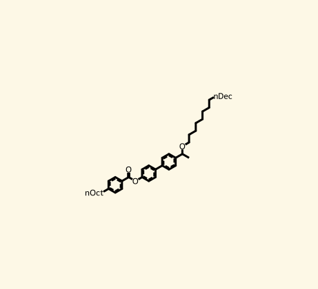 CCCCCCCCCCCCCCCCCCOC(C)c1ccc(-c2ccc(OC(=O)c3ccc(CCCCCCCC)cc3)cc2)cc1